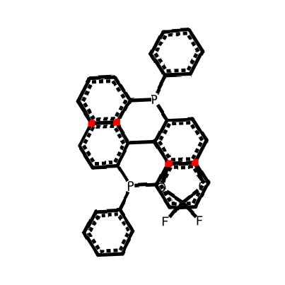 FC1(F)Oc2ccc(P(c3ccccc3)c3ccccc3)c(-c3ccccc3P(c3ccccc3)c3ccccc3)c2O1